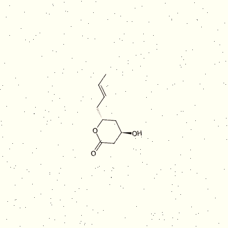 C/C=C/C[C@@H]1C[C@@H](O)CC(=O)O1